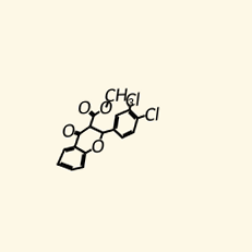 COC(=O)C1C(=O)c2ccccc2OC1c1ccc(Cl)c(Cl)c1